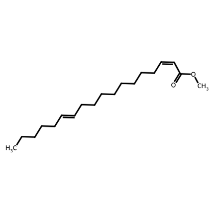 CCCCCC=CCCCCCCCC/C=C\C(=O)OC